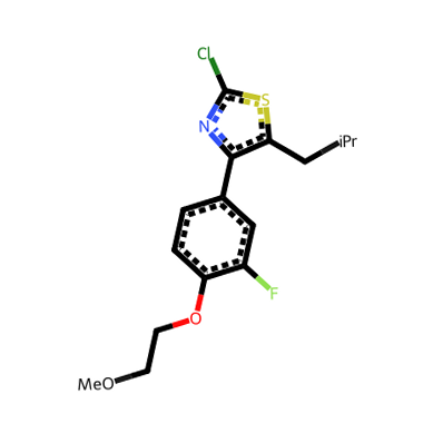 COCCOc1ccc(-c2nc(Cl)sc2CC(C)C)cc1F